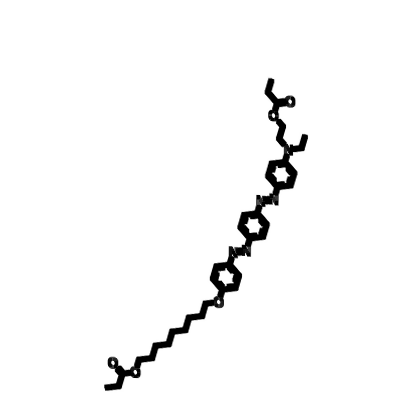 CCC(=O)OCCCCCCCCCOc1ccc(N=Nc2ccc(N=Nc3ccc(N(CC)CCOC(=O)CC)cc3)cc2)cc1